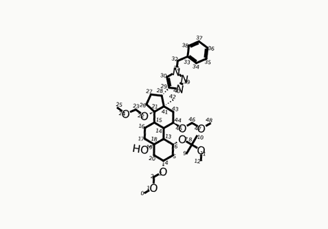 COCO[C@H]1C[C@@H](OC(C)(C)OC)C2C3C(CC[C@]2(O)C1)[C@@]1(OCOC)CC[C@H](c2cn(Cc4ccccc4)nn2)[C@@]1(C)C[C@H]3OCOC